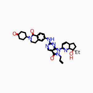 C=CCn1c(=O)c2cnc(Nc3ccc4c(c3)CCN(C3CCC(=O)CC3)C4=O)nc2n1C1=NC2C(C=C1)CC[C@]2(O)CC